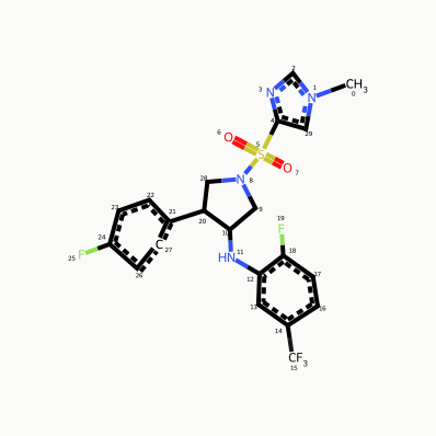 Cn1cnc(S(=O)(=O)N2CC(Nc3cc(C(F)(F)F)ccc3F)C(c3ccc(F)cc3)C2)c1